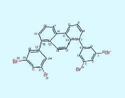 Brc1cc(Br)cc(-c2cccc3c2ccc2c(-c4cc(Br)cc(Br)c4)cccc23)c1